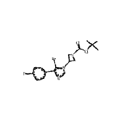 CC(C)(C)OC(=O)N1CC(n2cnc(-c3ccc(F)cc3)c2Br)C1